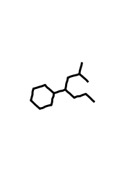 CCCC(CC(C)C)C1CCCCC1